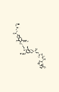 COc1cc2c(c(F)c1OCCCOc1c(OC)cc3sc(C(=O)CCC(=O)OC(C)(C)C)cc3c1F)CN(C(=O)CCC(=O)O[C@@H](C)CNC(=O)CN1C(=O)C=CC1=O)C2